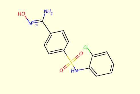 N/C(=N\O)c1ccc(S(=O)(=O)Nc2ccccc2Cl)cc1